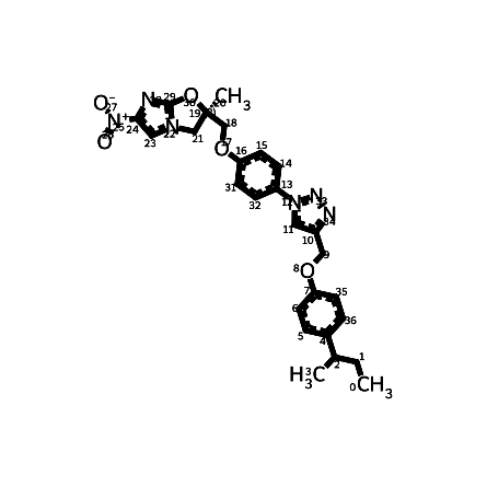 CCC(C)c1ccc(OCc2cn(-c3ccc(OC[C@@]4(C)Cn5cc([N+](=O)[O-])nc5O4)cc3)nn2)cc1